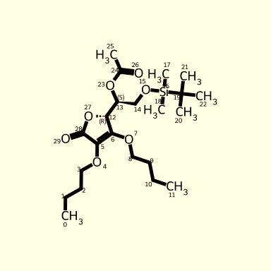 CCCCOC1=C(OCCCC)[C@@H]([C@H](CO[Si](C)(C)C(C)(C)C)OC(C)=O)OC1=O